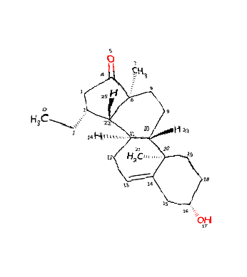 CC[C@@H]1CC(=O)[C@@]2(C)CC[C@H]3[C@@H](CC=C4C[C@@H](O)CC[C@@]43C)[C@H]12